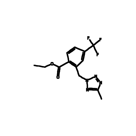 CCOC(=O)c1ccc(C(F)(F)F)cc1Cn1nnc(C)n1